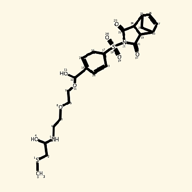 CSCC(O)NCCOCCOC(O)C1=CCC(S(=O)(=O)N2C(=O)C3C4C=CC(C4)C3C2=O)C=C1